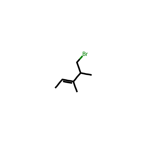 C/C=C(\C)C(C)CBr